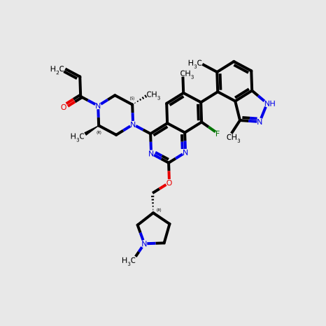 C=CC(=O)N1C[C@H](C)N(c2nc(OC[C@@H]3CCN(C)C3)nc3c(F)c(-c4c(C)ccc5[nH]nc(C)c45)c(C)cc23)C[C@H]1C